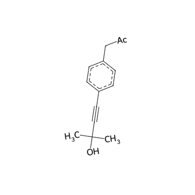 CC(=O)Cc1ccc(C#CC(C)(C)O)cc1